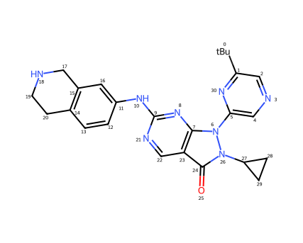 CC(C)(C)c1cncc(-n2c3nc(Nc4ccc5c(c4)CNCC5)ncc3c(=O)n2C2CC2)n1